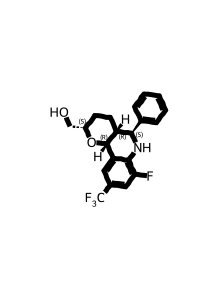 OC[C@@H]1CC[C@@H]2[C@@H](c3ccccc3)Nc3c(F)cc(C(F)(F)F)cc3[C@@H]2O1